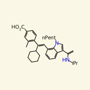 C=C(NC(C)C)c1cn(CCCCC)c2c(/C=C(/c3ccc(C(=O)O)cc3C)C3CCCCC3)cccc12